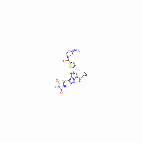 N[C@@H]1CCN(C(=O)c2ccc(-c3cc(NC4CC4)n4ncc(/C=C5\NC(=O)NC5=O)c4n3)s2)C1